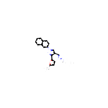 CCOC(=O)N/N=C/c1cn(-c2ccc3ccccc3c2)nc1-c1ccc([N+](=O)[O-])o1